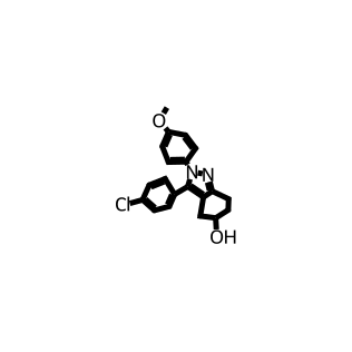 COc1ccc(-n2nc3c(c2-c2ccc(Cl)cc2)CC(O)CC3)cc1